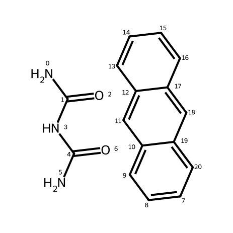 NC(=O)NC(N)=O.c1ccc2cc3ccccc3cc2c1